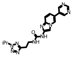 CC(C)n1nnc(CCNC(=O)Nc2cn3cc(-c4cncnc4)ccc3n2)n1